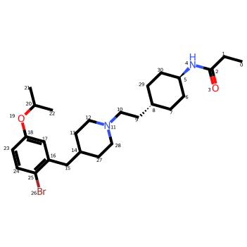 CCC(=O)N[C@H]1CC[C@H](CCN2CCC(Cc3cc(OC(C)C)ccc3Br)CC2)CC1